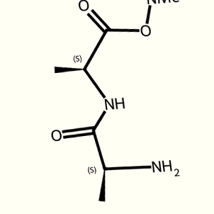 CNOC(=O)[C@H](C)NC(=O)[C@H](C)N